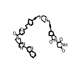 O=C1CC[C@@H](N2Cc3cc(C#CCN4CCN(CC#Cc5ccc(/C=C/c6ccc(C(=O)N7CCc8cnc(-c9cnc%10ccccc%10c9)nc8C7)cc6)cc5)CC4)ccc3C2=O)C(=O)N1